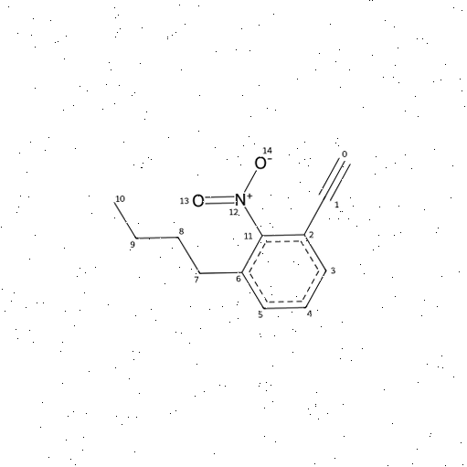 C#Cc1cccc(CCCC)c1[N+](=O)[O-]